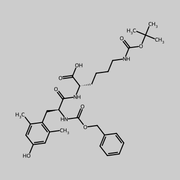 Cc1cc(O)cc(C)c1C[C@H](NC(=O)OCc1ccccc1)C(=O)N[C@@H](CCCCNC(=O)OC(C)(C)C)C(=O)O